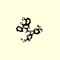 CC(Nc1nc(N)ncc1-c1ccc(S(C)(=O)=O)nc1)c1nc2cccc(Cl)c2c(=O)n1-c1ccccc1